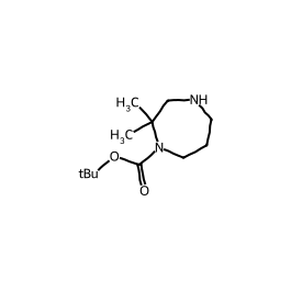 CC(C)(C)OC(=O)N1CCCNCC1(C)C